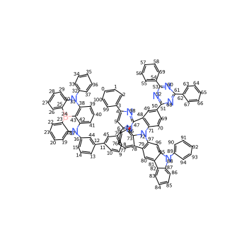 c1ccc(-c2cc(-c3cccc(-c4cccc(N5c6ccccc6B6c7ccccc7N(c7ccccc7)c7cccc5c76)c4)c3)nc(-c3cc(-c4nc(-c5ccccc5)nc(-c5ccccc5)n4)ccc3-n3c4ccccc4c4cc5c6ccccc6n(-c6ccccc6)c5cc43)n2)cc1